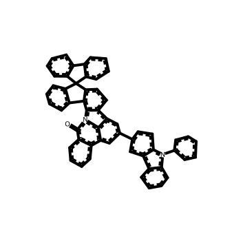 O=c1c2ccccc2c2cc(-c3ccc4c(c3)c3ccccc3n4-c3ccccc3)cc3c4ccc5c(c4n1c23)-c1ccccc1C51c2ccccc2-c2ccccc21